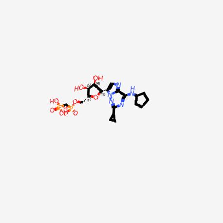 O=P(O)(O)CP(=O)(O)OC[C@H]1O[C@@H](c2cnc3c(NC4CCCC4)nc(C4CC4)nn23)[C@H](O)[C@@H]1O